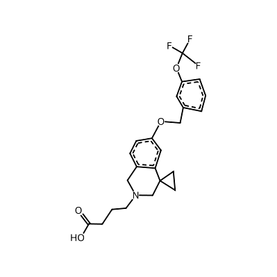 O=C(O)CCCN1Cc2ccc(OCc3cccc(OC(F)(F)F)c3)cc2C2(CC2)C1